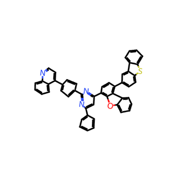 c1ccc(-c2cc(-c3ccc(-c4ccc5sc6ccccc6c5c4)c4c3oc3ccccc34)nc(-c3ccc(-c4ccnc5ccccc45)cc3)n2)cc1